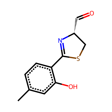 Cc1ccc(C2=N[C@H](C=O)CS2)c(O)c1